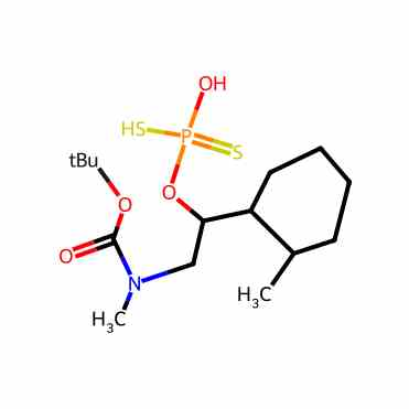 CC1CCCCC1C(CN(C)C(=O)OC(C)(C)C)OP(O)(=S)S